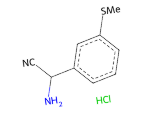 CSc1cccc(C(N)C#N)c1.Cl